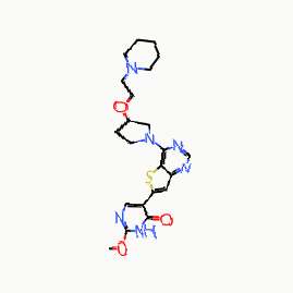 COc1ncc(-c2cc3ncnc(N4CCC(OCCN5CCCCC5)C4)c3s2)c(=O)[nH]1